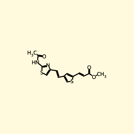 COC(=O)/C=C/c1cc(C=Cc2csc(NC(C)=O)n2)cs1